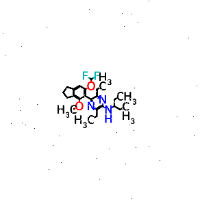 CCc1nc(-c2c(OC(F)F)cc3c(c2OC)CCC3)c(CC)nc1NC(CC)CC